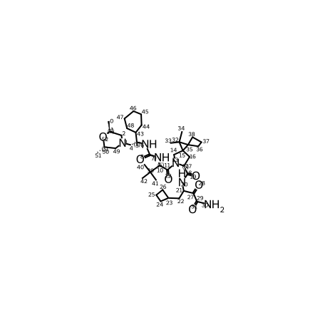 C[C@H]1CN(C[C@@H](NC(=O)N[C@H](C(=O)N2CC3(C[C@H]2C(=O)NC(CC2CCC2)C(=O)C(N)=O)C(C)(C)C32CCC2)C(C)(C)C)C2CCCCC2)C[C@H](C)O1